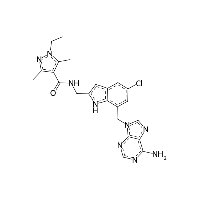 CCn1nc(C)c(C(=O)NCc2cc3cc(Cl)cc(Cn4cnc5c(N)ncnc54)c3[nH]2)c1C